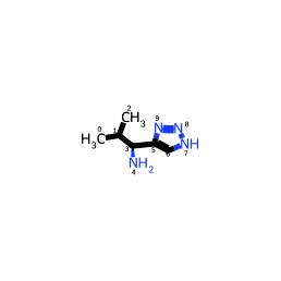 CC(C)[C@H](N)c1c[nH]nn1